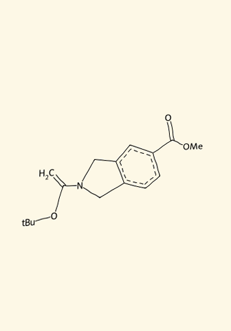 C=C(OC(C)(C)C)N1Cc2ccc(C(=O)OC)cc2C1